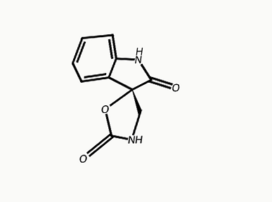 O=C1NC[C@]2(O1)C(=O)Nc1ccccc12